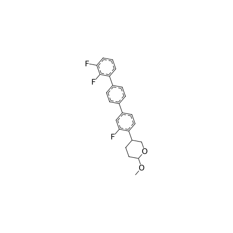 COC1CCC(c2ccc(-c3ccc(-c4cccc(F)c4F)cc3)cc2F)CO1